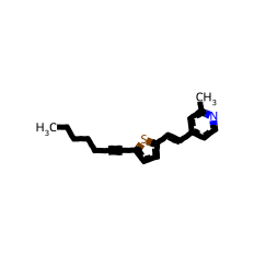 CCCCCC#Cc1ccc(/C=C/c2ccnc(C)c2)s1